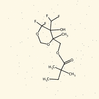 CCC(C)(C)C(=O)OCC1(C)OCOC(F)(F)C1(O)C(F)F